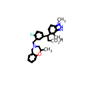 Cc1c(C(CC(=O)O)c2ccc(F)c(CN3Cc4ccccc4OC(C)C3)c2)ccc2c1nnn2C